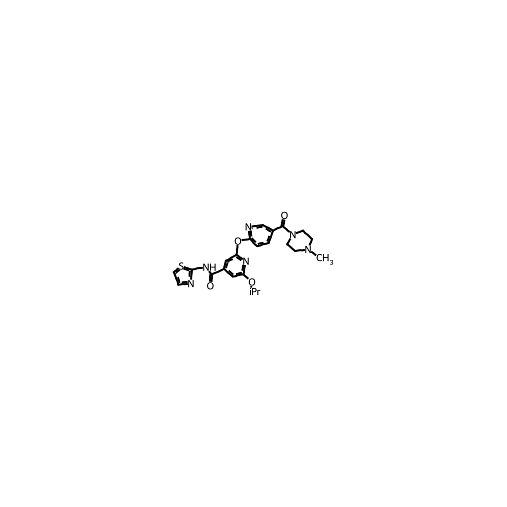 CC(C)Oc1cc(C(=O)Nc2nccs2)cc(Oc2ccc(C(=O)N3CCN(C)CC3)cn2)n1